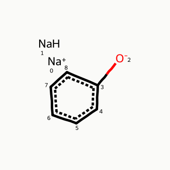 [Na+].[NaH].[O-]c1ccccc1